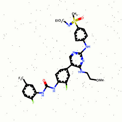 CCOC(=O)N=S(C)(=O)c1ccc(Nc2ncc(-c3ccc(NC(=O)Nc4cc(C(F)(F)F)ccc4F)c(F)c3)c(NCCOC)n2)cc1